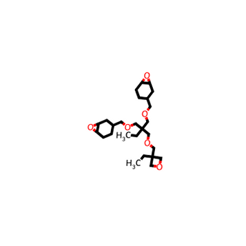 CCC(COCC1CCC2OC2C1)(COCC1CCC2OC2C1)COCC1(CC)COC1